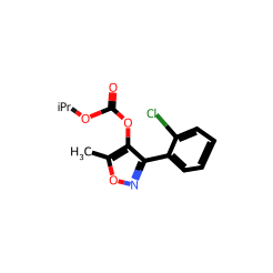 Cc1onc(-c2ccccc2Cl)c1OC(=O)OC(C)C